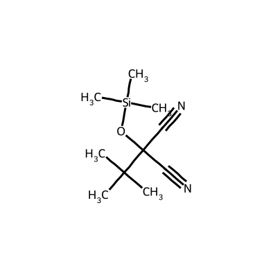 CC(C)(C)C(C#N)(C#N)O[Si](C)(C)C